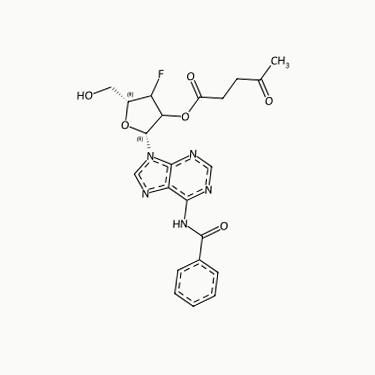 CC(=O)CCC(=O)OC1C(F)[C@@H](CO)O[C@H]1n1cnc2c(NC(=O)c3ccccc3)ncnc21